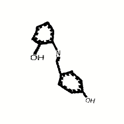 Oc1ccc(C=Nc2ccccc2O)cc1